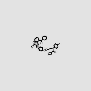 Cc1ccc(N(CCCOc2ccc(CC(Nc3ccccc3C(=O)c3ccccc3)C(=O)O)cc2)C(=O)C2CCC2)cc1